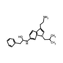 CC(C)Cn1cc(CCN)c2ccc(NC(O)Cc3ccccc3)cc21